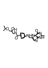 Cc1nc(=O)c2nc(CNc3ccc(C(=O)NCC(=O)COC(C)C)cc3)cnc2[nH]1